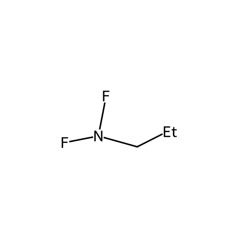 CCCN(F)F